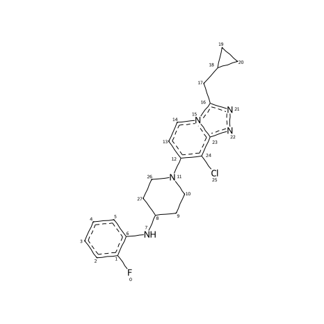 Fc1ccccc1NC1CCN(c2ccn3c(CC4CC4)nnc3c2Cl)CC1